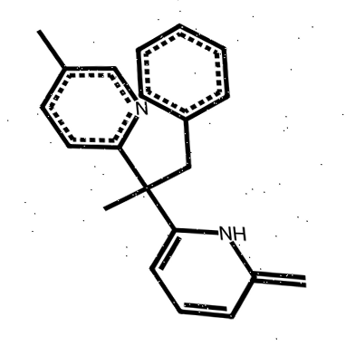 C=C1C=CC=C(C(C)(Cc2ccccc2)c2ccc(C)cn2)N1